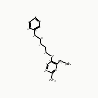 CCCCNc1nc(C)ncc1OCCCCCc1ccccc1